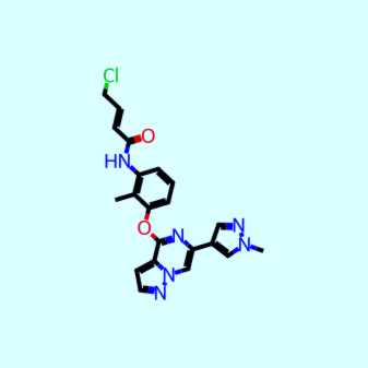 Cc1c(NC(=O)C=CCCl)cccc1Oc1nc(-c2cnn(C)c2)cn2nccc12